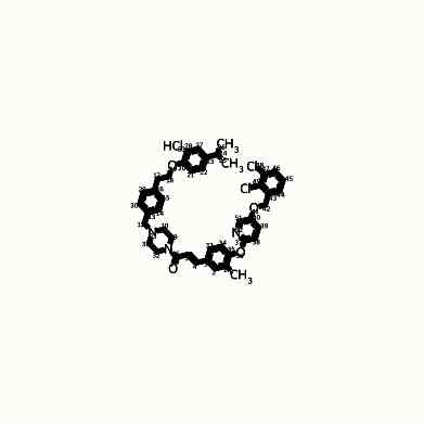 Cc1cc(C=CC(=O)N2CCN(Cc3ccc(CCOc4ccc(C(C)C)cc4)cc3)CC2)ccc1Oc1ccc(OCc2cccc(Cl)c2Cl)cn1.Cl